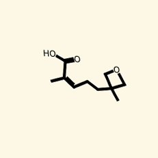 CC(=CCCC1(C)COC1)C(=O)O